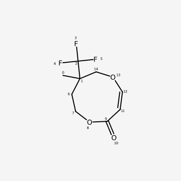 CC1(C(F)(F)F)CCOC(=O)C=COC1